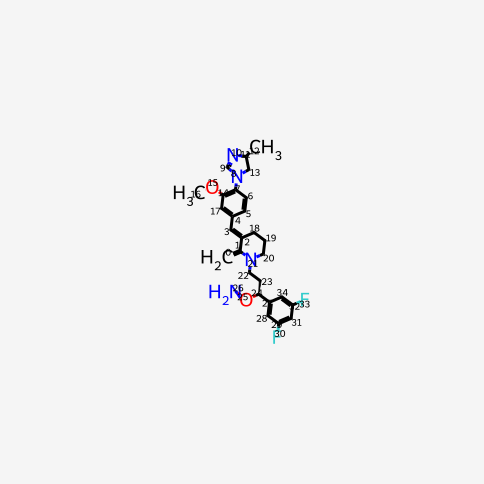 C=C1/C(=C/c2ccc(N3C=NC(C)C3)c(OC)c2)CCCN1CC[C@H](ON)c1cc(F)cc(F)c1